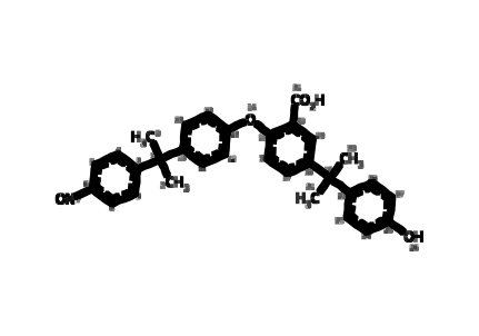 CC(C)(c1ccc(N=O)cc1)c1ccc(Oc2ccc(C(C)(C)c3ccc(O)cc3)cc2C(=O)O)cc1